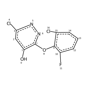 Oc1cc(Cl)nnc1Oc1c(F)cccc1Cl